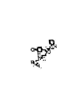 CS(=O)(=O)CCNC(=O)CCc1oc(-n2cnc3ccccc32)nc1-c1ccc(Cl)cc1